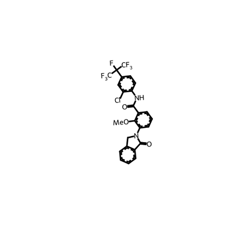 COc1c(C(=O)Nc2ccc(C(F)(C(F)(F)F)C(F)(F)F)cc2Cl)cccc1N1Cc2ccccc2C1=O